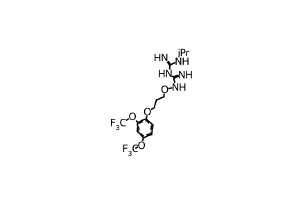 CC(C)NC(=N)NC(=N)NOCCCOc1ccc(OC(F)(F)F)cc1OC(F)(F)F